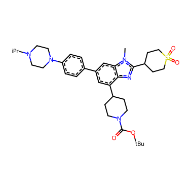 CC(C)N1CCN(c2ccc(-c3cc(C4CCN(C(=O)OC(C)(C)C)CC4)c4nc(C5CCS(=O)(=O)CC5)n(C)c4c3)cc2)CC1